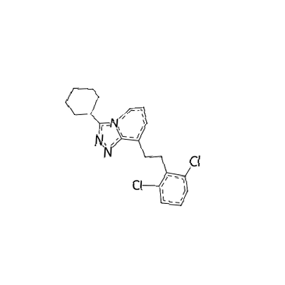 Clc1cccc(Cl)c1CCc1cccn2c(C3CCCCC3)nnc12